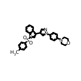 Cc1ccc(S(=O)(=O)n2cc(-c3cnn(-c4ccc(N5CCOCC5)cc4)c3)c3ccccc32)cc1